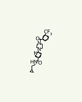 O=C(NCCC1CC1)c1ccc(N2CCN(C(=O)c3cccc(C(F)(F)F)c3)CC2)nc1